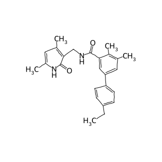 CCc1ccc(-c2cc(C)c(C)c(C(=O)NCc3c(C)cc(C)[nH]c3=O)c2)cc1